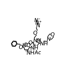 CC(=O)N[C@@H](CC(=O)OCc1ccccc1)C(O)N[C@@H](CC(=O)NCCN1CCOCC1)C(=O)NCCOCCN=[N+]=[N-]